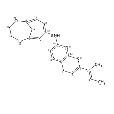 C/C=C(\C)C1=CCc2ccc(NC3=CC=C4CC(=C3)OCCO4)nc2S1